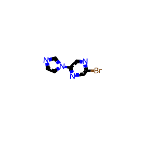 Brc1cnc(-n2ccnc2)cn1